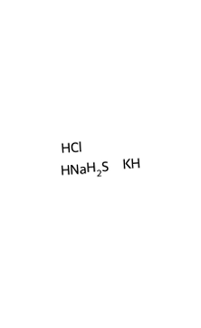 Cl.S.[KH].[NaH]